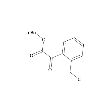 CCCCOC(=O)C(=O)c1ccccc1CCl